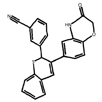 N#Cc1cccc(C2Sc3ccccc3C=C2c2ccc3c(c2)NC(=O)CO3)c1